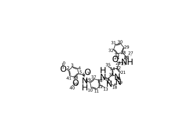 COc1ccc(C(=O)Nc2ccc(C)c(Nc3ncnn4cc(C(=O)N[C@@H](C)c5ccccc5)c(C)c34)c2)c(OC)c1